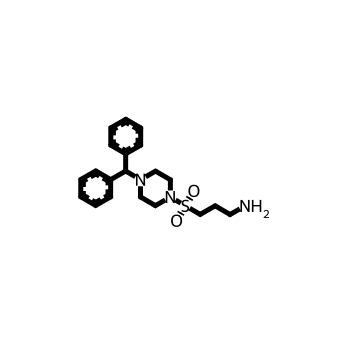 NCCCS(=O)(=O)N1CCN(C(c2ccccc2)c2ccccc2)CC1